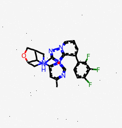 Cc1cc(N2CC3COC(C2)C3Nc2nc3c(-c4ccc(F)c(F)c4F)cccn3n2)ncn1